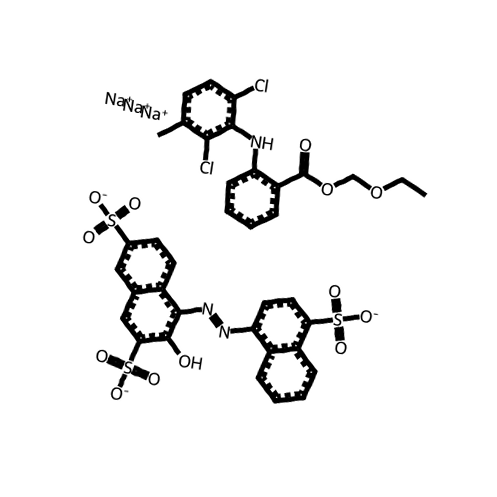 CCOCOC(=O)c1ccccc1Nc1c(Cl)ccc(C)c1Cl.O=S(=O)([O-])c1ccc2c(/N=N/c3ccc(S(=O)(=O)[O-])c4ccccc34)c(O)c(S(=O)(=O)[O-])cc2c1.[Na+].[Na+].[Na+]